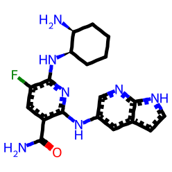 NC(=O)c1cc(F)c(N[C@@H]2CCCC[C@@H]2N)nc1Nc1cnc2[nH]ccc2c1